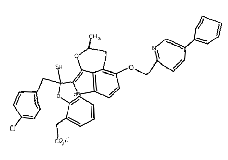 CC1Cc2c(OCc3ccc(-c4ccccc4)cn3)ccc3[nH]c(C(S)(Cc4ccc(Cl)cc4)Oc4ccccc4CC(=O)O)c(c23)O1